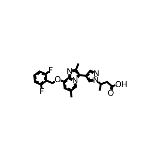 Cc1cc(OCc2c(F)cccc2F)c2nc(C)c(-c3cnn(C(C)CC(=O)O)c3)n2c1